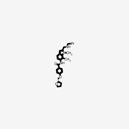 Cc1c(NC(=O)c2ccc(OC[C@@H]3CCCO3)cc2)ccc2cc(CNCC(C)C)n(C)c12